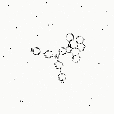 c1ccc(-n2c3ccc(N(c4ccc(-c5ccncc5)cc4)c4ccc(-c5ccncc5)cc4)cc3c3c4ccccc4c4ccc5ccccc5c4c32)cc1